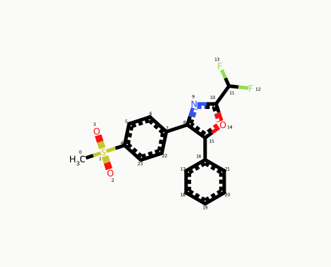 CS(=O)(=O)c1ccc(-c2nc(C(F)F)oc2-c2ccccc2)cc1